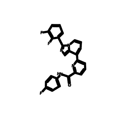 O=C(Nc1ccc(F)cc1)c1cccc(-c2cccn3c(-c4cccc(F)c4F)ncc23)n1